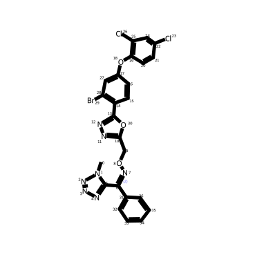 Cn1nnnc1/C(=N\OCc1nnc(-c2ccc(Oc3ccc(Cl)cc3Cl)cc2Br)o1)c1ccccc1